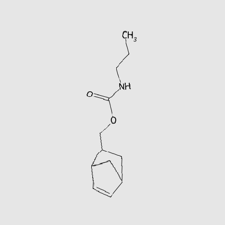 CCCNC(=O)OCC1CC2C=CC1C2